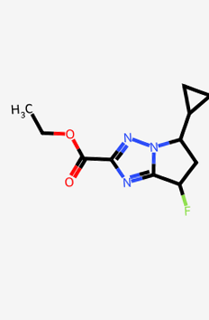 CCOC(=O)c1nc2n(n1)C(C1CC1)CC2F